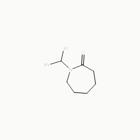 CC(C)C(C(C)C)N1CCCCCC1=O